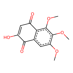 COc1cc2c(c(OC)c1OC)C(=O)C=C(O)C2=O